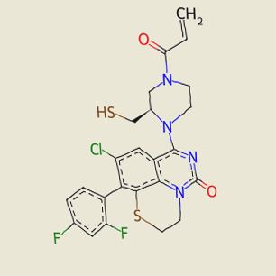 C=CC(=O)N1CCN(c2nc(=O)n3c4c(c(-c5ccc(F)cc5F)c(Cl)cc24)SCC3)[C@@H](CS)C1